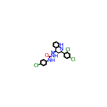 O=C(NN=C1CC(c2ccc(Cl)cc2Cl)Nc2ccccc21)Nc1ccc(Cl)cc1